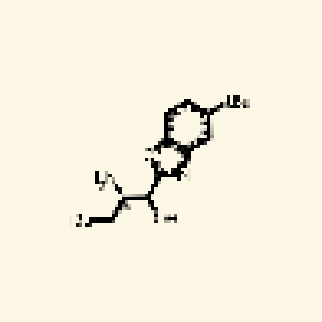 CCC(C)C[C@@H](N)C(O)c1nc2cc(C(C)(C)C)ccc2o1